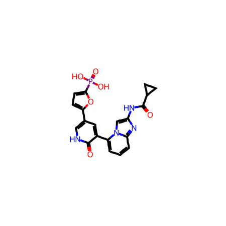 O=C(Nc1cn2c(-c3cc(-c4ccc(P(=O)(O)O)o4)c[nH]c3=O)cccc2n1)C1CC1